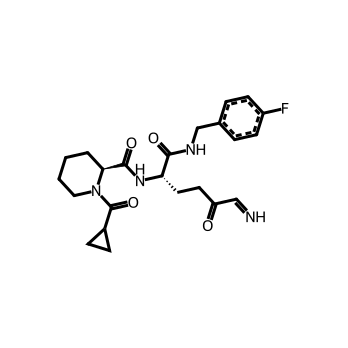 N=CC(=O)CC[C@H](NC(=O)[C@@H]1CCCCN1C(=O)C1CC1)C(=O)NCc1ccc(F)cc1